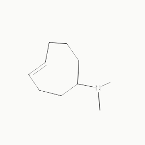 CN(C)C1CC/C=C/CCC1